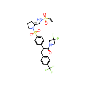 C=CS(=O)(=O)NC[C@@H]1CCCN1S(=O)(=O)c1ccc(C(Cc2ccc(C(F)(F)F)cc2)C(=O)N2CC(F)(F)C2)cc1